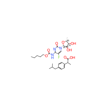 CC(C)Cc1ccc(C(C)C(=O)O)cc1.CCCCCOC(=O)Nc1nc(=O)n([C@@H]2O[C@H](C)[C@@H](O)[C@H]2O)cc1F